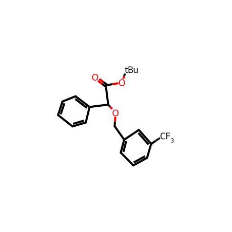 CC(C)(C)OC(=O)C(OCc1cccc(C(F)(F)F)c1)c1ccccc1